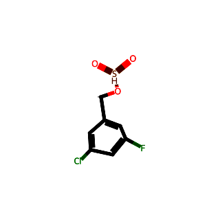 O=[SH](=O)O[CH]c1cc(F)cc(Cl)c1